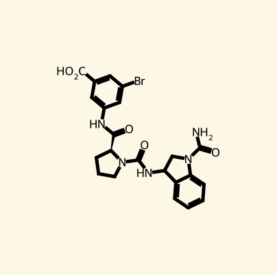 NC(=O)N1CC(NC(=O)N2CCC[C@H]2C(=O)Nc2cc(Br)cc(C(=O)O)c2)c2ccccc21